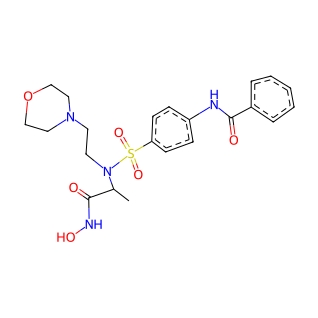 CC(C(=O)NO)N(CCN1CCOCC1)S(=O)(=O)c1ccc(NC(=O)c2ccccc2)cc1